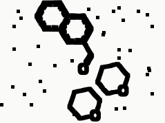 C1CCOCC1.C1CCOCC1.O=Cc1ccc2ccccc2c1